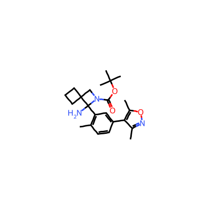 Cc1ccc(-c2c(C)noc2C)cc1C1(N)N(C(=O)OC(C)(C)C)CC12CCC2